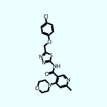 Cc1cc(N2CCOCC2)c(C(=O)Nc2nnc(COc3ccc(Cl)cc3)s2)cn1